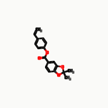 C=Cc1ccc(OC(=O)c2ccc3c(c2)OC(C)(C)O3)cc1